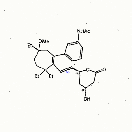 CCC1(OC)CCC(CC)(CC)C(/C=C/[C@@H]2C[C@@H](O)CC(=O)O2)=C(c2cccc(NC(C)=O)c2)C1